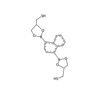 SCC1COB(c2ccc(B3OCC(CS)O3)c3ccccc23)O1